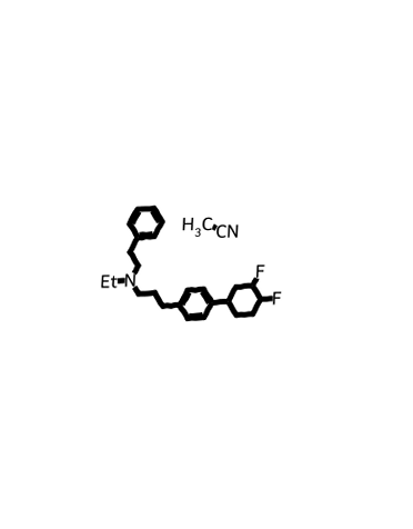 CC#N.CCN(CCCc1ccc(C2CCC(F)C(F)C2)cc1)CCc1ccccc1